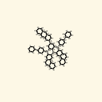 c1ccc(-c2ccc(N3c4cc5ccc6ccccc6c5cc4B4c5cc6c(ccc7ccccc76)cc5N(c5ccc(-c6ccccc6)cc5)c5cc(-c6ccc7cc8ccccc8cc7c6)cc3c54)cc2)cc1